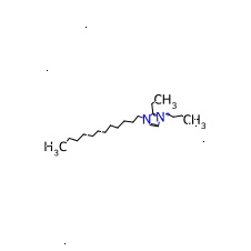 CCCCCCCCCCCCn1cc[n+](CCCC)c1CC